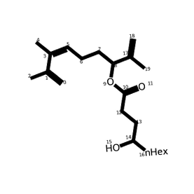 C=C(C)/C(C)=C\CCC(OC(=O)CCC(O)CCCCCC)C(=C)C